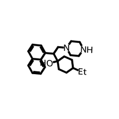 CCC1CCC(O)(C(CN2CCNCC2)c2cccc3ccccc23)CC1